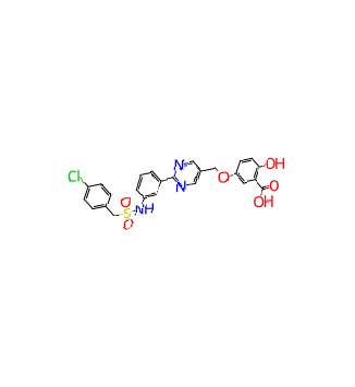 O=C(O)c1cc(OCc2cnc(-c3cccc(NS(=O)(=O)Cc4ccc(Cl)cc4)c3)nc2)ccc1O